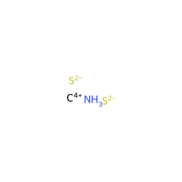 N.[C+4].[S-2].[S-2]